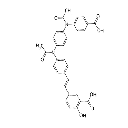 CC(=O)N(c1ccc(/C=C/c2ccc(O)c(C(=O)O)c2)cc1)c1ccc(N(C(C)=O)c2ccc(C(=O)O)cc2)cc1